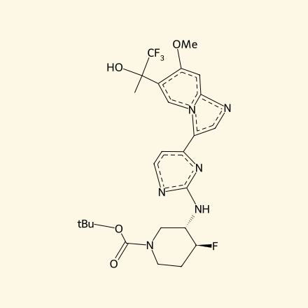 COc1cc2ncc(-c3ccnc(N[C@H]4CN(C(=O)OC(C)(C)C)CC[C@@H]4F)n3)n2cc1C(C)(O)C(F)(F)F